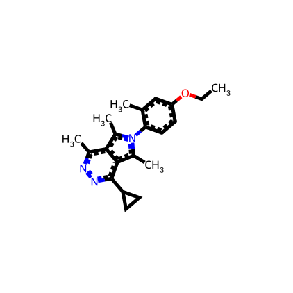 CCOc1ccc(-n2c(C)c3c(C)nnc(C4CC4)c3c2C)c(C)c1